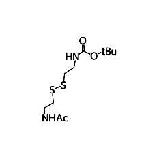 CC(=O)NCCSSCCNC(=O)OC(C)(C)C